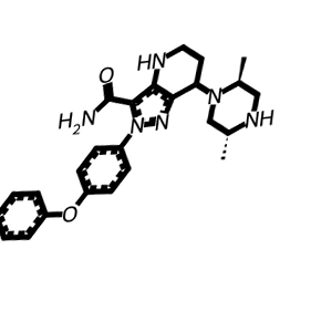 C[C@@H]1CN(C2CCNc3c2nn(-c2ccc(Oc4ccccc4)cc2)c3C(N)=O)[C@@H](C)CN1